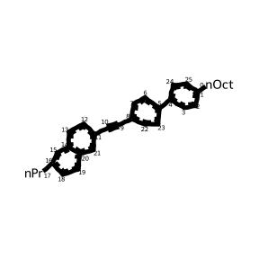 CCCCCCCCc1ccc(-c2ccc(C#Cc3ccc4cc(CCC)ccc4c3)cc2)cc1